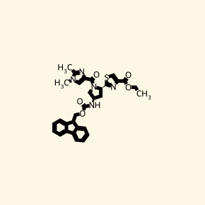 CCOC(=O)c1csc([C@@H]2C[C@@H](NC(=O)OCC3c4ccccc4-c4ccccc43)CN2C(=O)c2cn(C)c(C)n2)n1